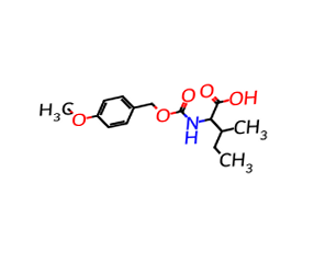 CCC(C)C(NC(=O)OCc1ccc(OC)cc1)C(=O)O